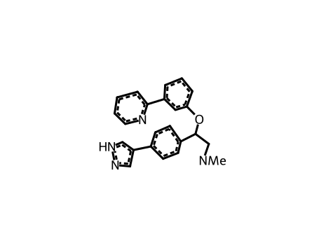 CNCC(Oc1cccc(-c2ccccn2)c1)c1ccc(-c2cn[nH]c2)cc1